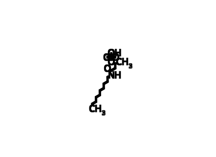 CCCCCCCCCCNC(=O)CC(C)OS(=O)(=O)O